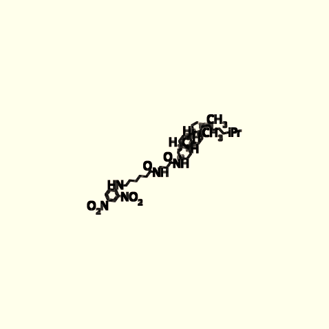 CC(C)CCC[C@@H](C)[C@H]1CC[C@H]2[C@@H]3CC=C4C[C@@H](NC(=O)CCNC(=O)CCCCCNc5ccc([N+](=O)[O-])cc5[N+](=O)[O-])CC[C@]4(C)[C@H]3CC[C@]12C